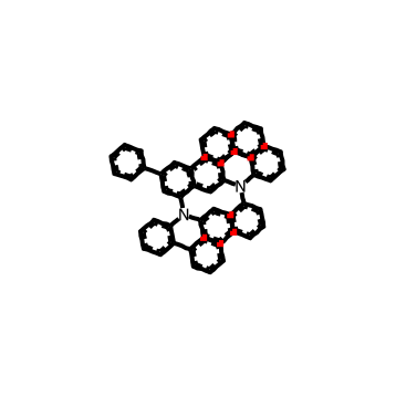 c1ccc(-c2cc(N(c3ccccc3)c3ccccc3-c3ccccc3)c3cc(N(c4ccccc4)c4ccccc4-c4ccccc4)c(-c4ccccc4)cc3c2)cc1